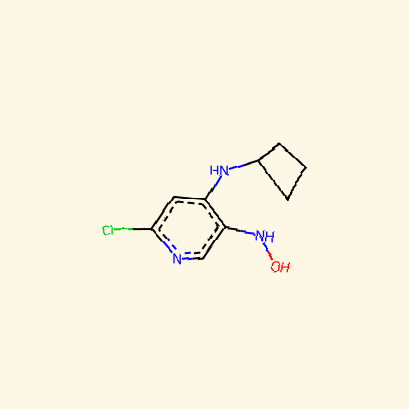 ONc1cnc(Cl)cc1NC1CCC1